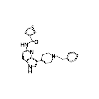 O=C(Nc1ccc2[nH]cc(C3=CCN(CCc4ccccc4)CC3)c2n1)c1ccsc1